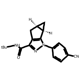 CC(C)(C)NC(=O)c1nn(-c2ccc(C#N)cc2)c2c1C[C@H]1C[C@@H]21